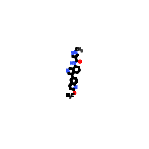 COc1ccc2cc(-c3cncc4c3CCCC4NC(=O)c3cnn(C)c3)ccc2n1